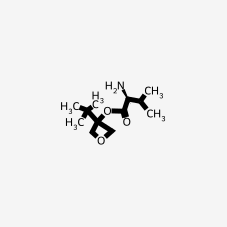 CC(C)[C@H](N)C(=O)OC1(C(C)(C)C)COC1